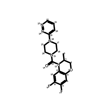 CC1COc2cc(F)c(F)cc2N1C(=O)N1CCN(c2cccnn2)CC1